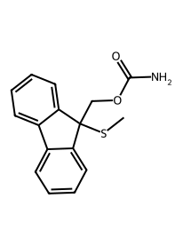 CSC1(COC(N)=O)c2ccccc2-c2ccccc21